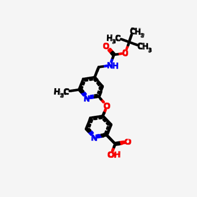 Cc1cc(CNC(=O)OC(C)(C)C)cc(Oc2ccnc(C(=O)O)c2)n1